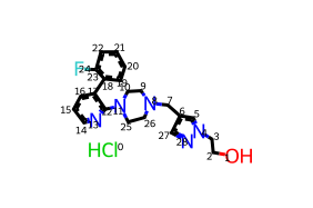 Cl.OCCn1cc(CN2CCN(c3ncccc3-c3ccccc3F)CC2)cn1